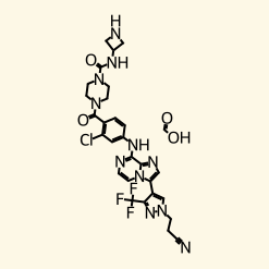 N#CCCn1cc(-c2cnc3c(Nc4ccc(C(=O)N5CCN(C(=O)NC6CNC6)CC5)c(Cl)c4)nccn23)c(C(F)(F)F)n1.O=CO